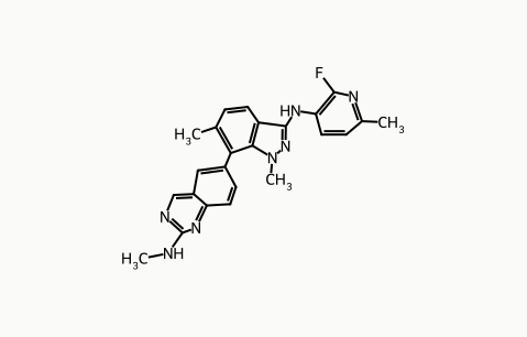 CNc1ncc2cc(-c3c(C)ccc4c(Nc5ccc(C)nc5F)nn(C)c34)ccc2n1